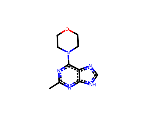 Cc1nc(N2CCOCC2)c2nc[nH]c2n1